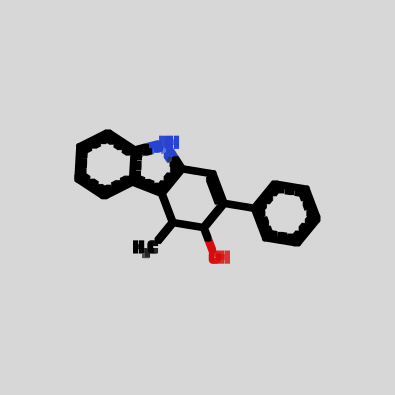 CC1c2c([nH]c3ccccc23)C=C(c2ccccc2)C1O